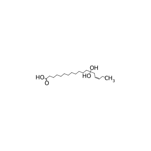 CC/C=C\CC(O)(O)CCCCCCCCCCCC(=O)O